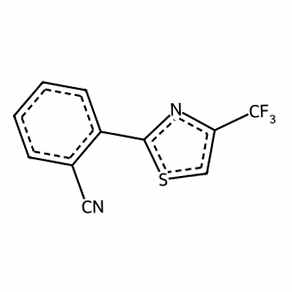 N#Cc1ccccc1-c1nc(C(F)(F)F)cs1